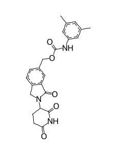 Cc1cc(C)cc(NC(=O)OCc2ccc3c(c2)C(=O)N(C2CCC(=O)NC2=O)C3)c1